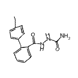 Cc1ccc(-c2ccccc2C(=O)NNC(N)=O)cc1